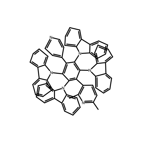 Cc1ccc(-c2c(-n3c4ccccc4c4ccccc43)c(-n3c4ccccc4c4ccccc43)c(-c3ccncc3)c(-n3c4ccccc4c4ccccc43)c2-n2c3ccccc3c3ccccc32)c(C)n1